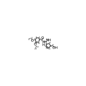 CCOc1ccc(C(=O)NC(=N)c2cncc(CO)c2)cc1OCC